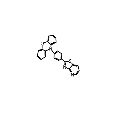 c1ccc2c(c1)Oc1ccccc1N2c1ccc(-c2nc3ncccc3s2)cc1